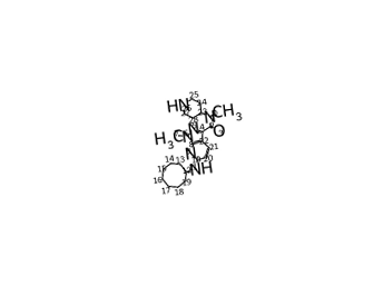 CN(C(=O)c1nn(C)c2nc(NC3CCCCCCC3)ccc12)C1CCNCC1